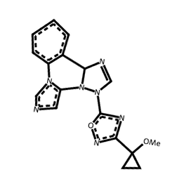 COC1(c2noc(N3C=NC4c5ccccc5-n5cncc5N43)n2)CC1